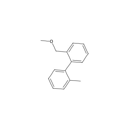 COCc1ccccc1-c1ccccc1C